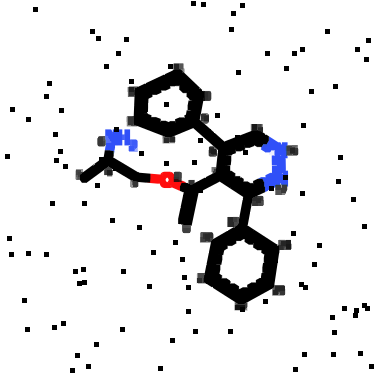 C=C(OCC(C)N)c1c(-c2ccccc2)cnnc1-c1ccccc1